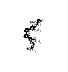 COc1nc(-c2cccc(-c3cccc(-c4cc5c(=O)n(C)c(CN6CC(C)(O)C6)nn5c4)c3Cl)c2Cl)ccc1CNC[C@]1(SC)CCC(=O)N1